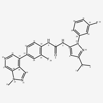 CC(C)c1cc(NC(=O)Nc2ccc(-c3cncc4c3cnn4C)cc2F)n(-c2cccc(F)c2)n1